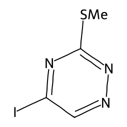 CSc1nncc(I)n1